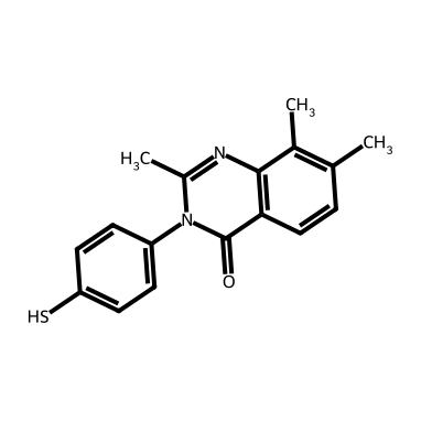 Cc1ccc2c(=O)n(-c3ccc(S)cc3)c(C)nc2c1C